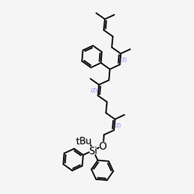 CC(C)=CCC/C(C)=C\C(C/C(C)=C\CC/C(C)=C\CO[Si](c1ccccc1)(c1ccccc1)C(C)(C)C)c1ccccc1